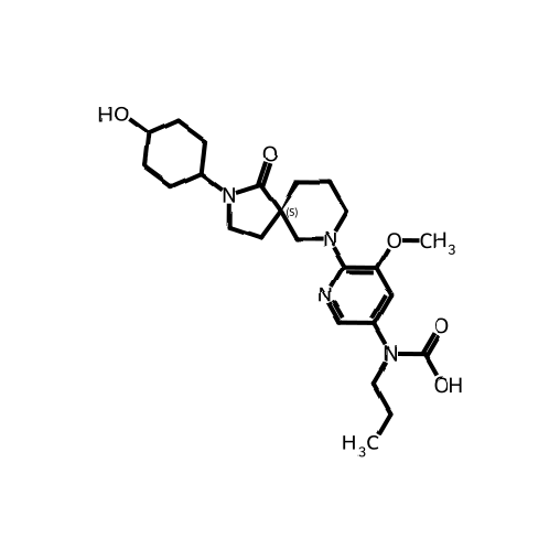 CCCN(C(=O)O)c1cnc(N2CCC[C@]3(CCN(C4CCC(O)CC4)C3=O)C2)c(OC)c1